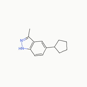 Cc1n[nH]c2ccc(C3CCCC3)cc12